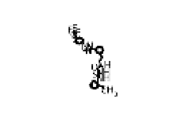 CCc1ccccc1NC(=S)NC(=O)NCCc1cccc(-c2ncn(-c3ccc(OC(F)(F)F)cc3)n2)c1